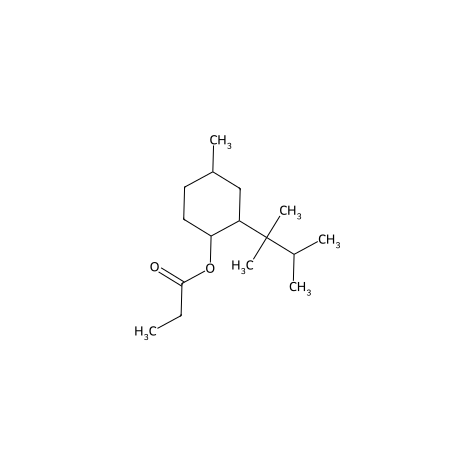 CCC(=O)OC1CCC(C)CC1C(C)(C)C(C)C